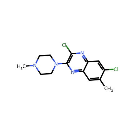 Cc1cc2nc(N3CCN(C)CC3)c(Cl)nc2cc1Cl